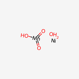 O.[Ni].[O]=[Mn](=[O])[OH]